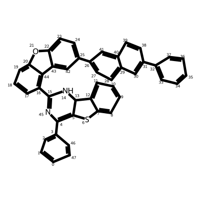 c1ccc(C2=C3Sc4ccccc4C3NC(c3cccc4oc5ccc(-c6ccc7cc(-c8ccccc8)ccc7c6)cc5c34)=N2)cc1